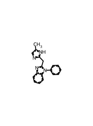 Cc1cnc(Cc2nc3ccccc3n2-c2ccccc2)[nH]1